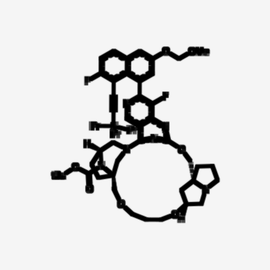 COCOc1cc(-c2ncc3c4nc(nc3c2F)OC[C@]23CCCN2C[C@@H](C3)OCCCOC[C@]23CC[C@H](CN4C2)N3C(=O)OC(C)(C)C)c2c(C#C[Si](C(C)C)(C(C)C)C(C)C)c(F)ccc2c1